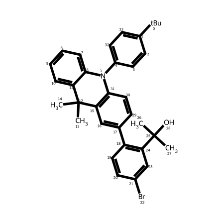 CC(C)(C)c1ccc(N2c3ccccc3C(C)(C)c3cc(-c4ccc(Br)cc4C(C)(C)O)ccc32)cc1